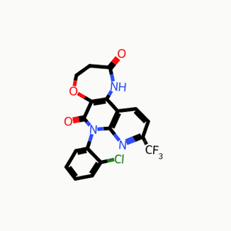 O=C1CCOc2c(c3ccc(C(F)(F)F)nc3n(-c3ccccc3Cl)c2=O)N1